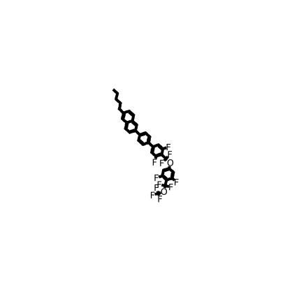 CCCCCc1ccc2cc(-c3ccc(-c4cc(F)c(C(F)(F)Oc5cc(F)c(C(F)(F)OC(F)(F)F)c(F)c5)c(F)c4)cc3)ccc2c1